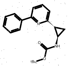 CC(C)(C)OC(=O)N[C@@H]1C[C@H]1c1cccc(-c2ccccc2)n1